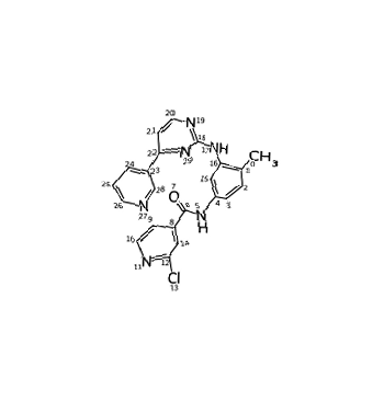 Cc1ccc(NC(=O)c2ccnc(Cl)c2)cc1Nc1nccc(-c2cccnc2)n1